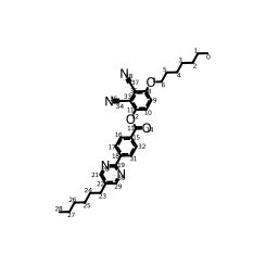 CCCCCCCOc1ccc(OC(=O)c2ccc(-c3ncc(CCCCCC)cn3)cc2)c(C#N)c1C#N